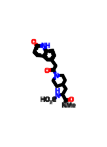 CNC(=O)C(CC1CCN(C(=O)Cc2ccc3[nH]c(=O)ccc3c2)CC1)NC(=O)O